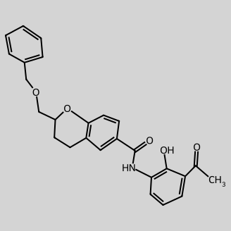 CC(=O)c1cccc(NC(=O)c2ccc3c(c2)CCC(COCc2ccccc2)O3)c1O